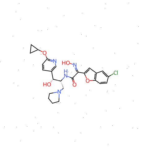 O=C(N[C@H](CN1CCCC1)[C@H](O)c1ccc(OC2CC2)nc1)C(=NO)c1cc2cc(Cl)ccc2o1